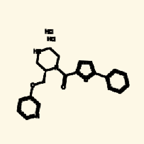 Cl.Cl.O=C(c1ccc(-c2ccccc2)o1)N1CCNC[C@@H]1COc1cccnc1